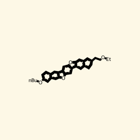 CCCCOc1ccc2cc3c(cc2c1)oc1cc2c(cc13)oc1cc3cc(CCOCC)ccc3cc12